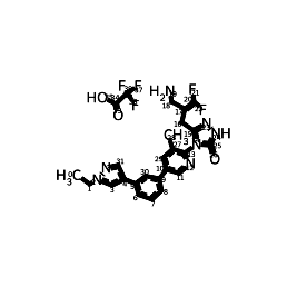 CCn1cc(-c2cccc(-c3cnc(-n4c(CC(CN)=C(F)F)n[nH]c4=O)c(C)c3)c2)cn1.O=C(O)C(F)(F)F